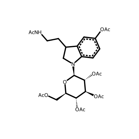 CC(=O)NCCC1CN([C@@H]2O[C@H](COC(C)=O)[C@@H](OC(C)=O)[C@H](OC(C)=O)[C@H]2OC(C)=O)c2ccc(OC(C)=O)cc21